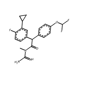 CN(C(=N)N)C(=O)C(c1ccc(OC(F)F)cc1)c1ccc(F)c(C2CC2)c1